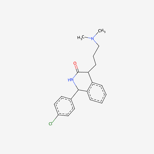 CN(C)CCCC1C(=O)NC(c2ccc(Cl)cc2)c2ccccc21